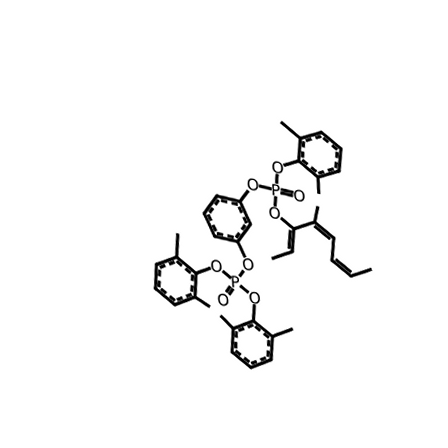 C\C=C/C=C(C)\C(=C\C)OP(=O)(Oc1cccc(OP(=O)(Oc2c(C)cccc2C)Oc2c(C)cccc2C)c1)Oc1c(C)cccc1C